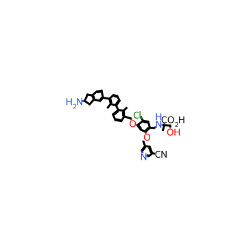 Cc1c(COc2cc(OCc3cncc(C#N)c3)c(CN[C@@](C)(CO)C(=O)O)cc2Cl)cccc1-c1cccc(-c2ccc3c(c2)CC(N)C3)c1C